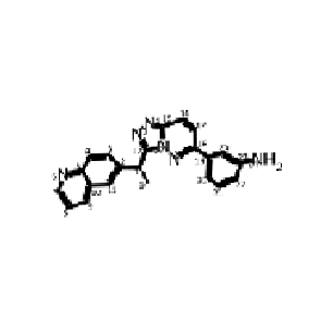 C[C@@H](c1ccc2ncccc2c1)c1nnc2ccc(-c3cccc(N)c3)nn12